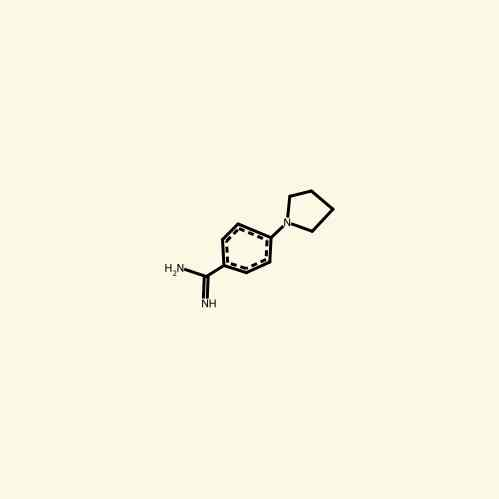 N=C(N)c1ccc(N2CCCC2)cc1